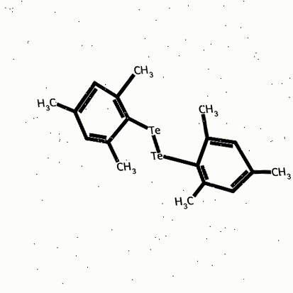 Cc1cc(C)c([Te][Te]c2c(C)cc(C)cc2C)c(C)c1